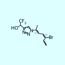 C=C/C(Br)=C\C=C(/C)n1cc(C(O)C(F)(F)F)nn1